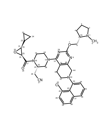 CN1CCC[C@H]1COc1nc2c(c(N3CCN(C(=O)[C@H]4O[C@H]4C4CC4)[C@@H](CC#N)C3)n1)CCN(c1cccc3cccc(Cl)c13)C2